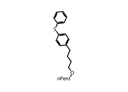 CCCCCOCCCCc1ccc(Sc2ccccc2)cc1